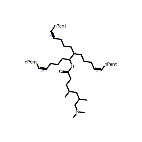 CCCCC/C=C\CCCC(CCC/C=C\CCCCC)C(CCC/C=C\CCCCC)OC(=O)CCC(C)CC(C)CN(C)C